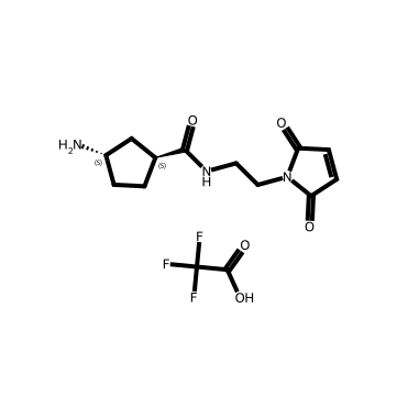 N[C@H]1CC[C@H](C(=O)NCCN2C(=O)C=CC2=O)C1.O=C(O)C(F)(F)F